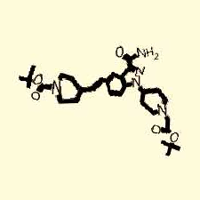 CC(C)(C)OC(=O)CN1CCC(n2nc(C(N)=O)c3cc(/C=C/C4CCN(C(=O)OC(C)(C)C)CC4)ccc32)CC1